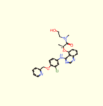 C[C@H](Oc1cccc2ncnc(Nc3ccc(OCc4ccccn4)c(Cl)c3)c12)C(=O)N(C)CCO